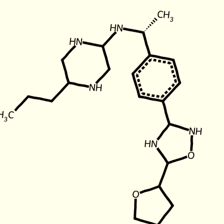 CCCC1CNC(N[C@H](C)c2ccc(C3NOC(C4CCCO4)N3)cc2)CN1